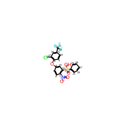 O=[N+]([O-])c1ccc(Oc2ccc(C(F)(F)F)cc2Cl)cc1P(=O)(O)c1ccccc1